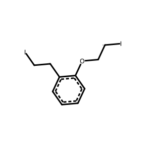 I[CH]COc1ccccc1CCI